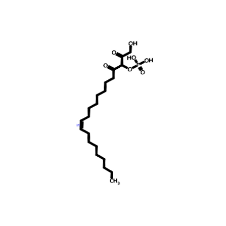 CCCCCCCC/C=C\CCCCCCCC(=O)C(OP(=O)(O)O)C(=O)CO